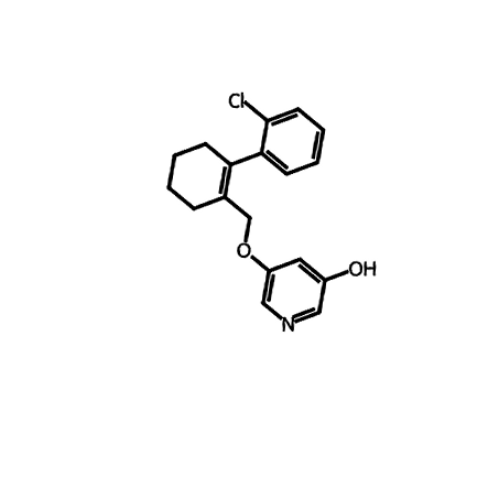 Oc1cncc(OCC2=C(c3ccccc3Cl)CCCC2)c1